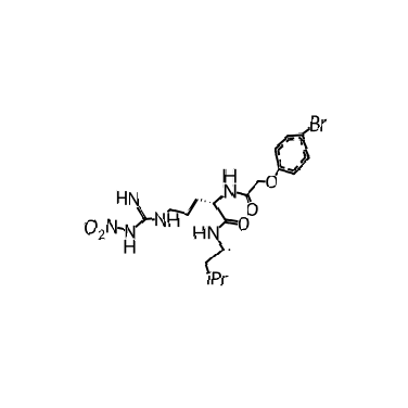 CC(C)C[CH]NC(=O)[C@H](CCCNC(=N)N[N+](=O)[O-])NC(=O)COc1ccc(Br)cc1